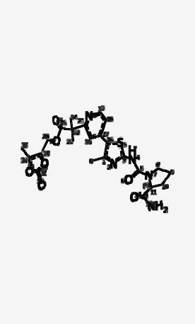 Cc1nc(NC(=O)N2CCC[C@H]2C(N)=O)sc1-c1ccnc(C(C)(C)C(=O)OCc2oc(=O)oc2C)c1